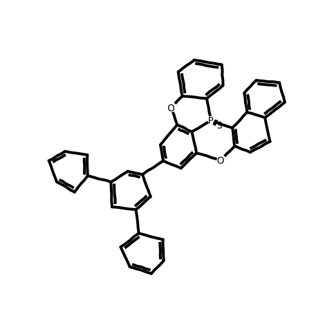 S=P12c3ccccc3Oc3cc(-c4cc(-c5ccccc5)cc(-c5ccccc5)c4)cc(c31)Oc1ccc3ccccc3c12